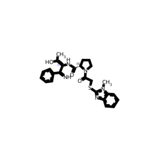 C/C(O)=C(\NC(=O)[C@@H]1CCCN1C(=O)CSc1nc2ccccc2n1C)C(=N)c1ccccc1